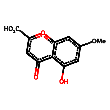 COc1cc(O)c2c(=O)cc(C(=O)O)oc2c1